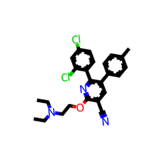 CCN(CC)CCOc1nc(-c2ccc(Cl)cc2Cl)c(-c2ccc(C)cc2)cc1C#N